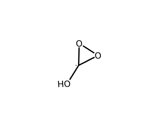 O[C]1OO1